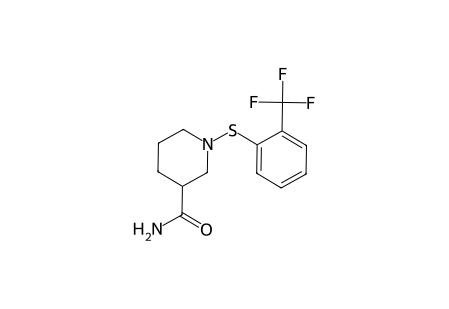 NC(=O)C1CCCN(Sc2ccccc2C(F)(F)F)C1